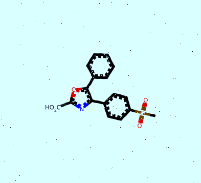 CS(=O)(=O)c1ccc(-c2nc(C(=O)O)oc2-c2ccccc2)cc1